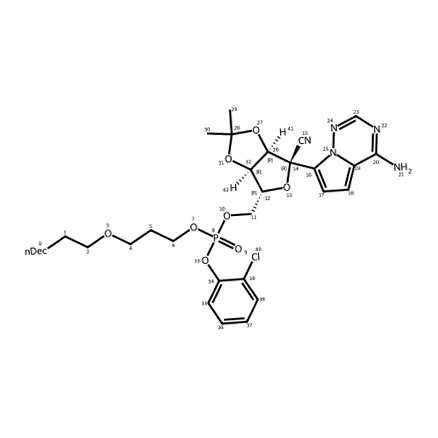 CCCCCCCCCCCCOCCCOP(=O)(OC[C@H]1O[C@@](C#N)(c2ccc3c(N)ncnn23)[C@@H]2OC(C)(C)O[C@@H]21)Oc1ccccc1Cl